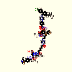 Cc1ncsc1-c1ccc([C@H](C)NC(=O)[C@@H]2C[C@@H](O)CN2C(=O)[C@@H](NC(=O)CCCCCC(=O)N2CCN(CC[C@H](CSc3ccsc3)Nc3ccc(S(=O)(=O)NC(=O)c4ccc(N5CCN(CC6=C(c7ccc(Cl)cc7)CCC(C)(C)C6)CC5)cc4)cc3S(=O)(=O)C(F)(F)F)CC2)C(C)(C)C)cc1